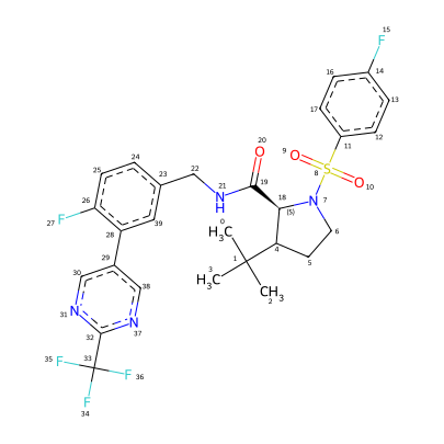 CC(C)(C)C1CCN(S(=O)(=O)c2ccc(F)cc2)[C@@H]1C(=O)NCc1ccc(F)c(-c2cnc(C(F)(F)F)nc2)c1